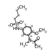 CCCCS(=O)(=O)Nc1ccc(OC)c(N(C)C(C)=O)c1